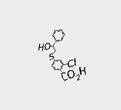 O=C(O)c1ccc(SC[C@@H](O)c2ccccc2)cc1Cl